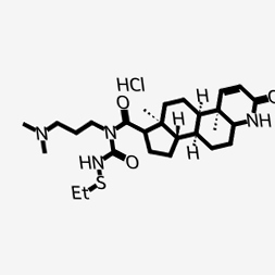 CCSNC(=O)N(CCCN(C)C)C(=O)C1CC[C@H]2[C@@H]3CCC4NC(=O)C=C[C@]4(C)[C@@H]3CC[C@]12C.Cl